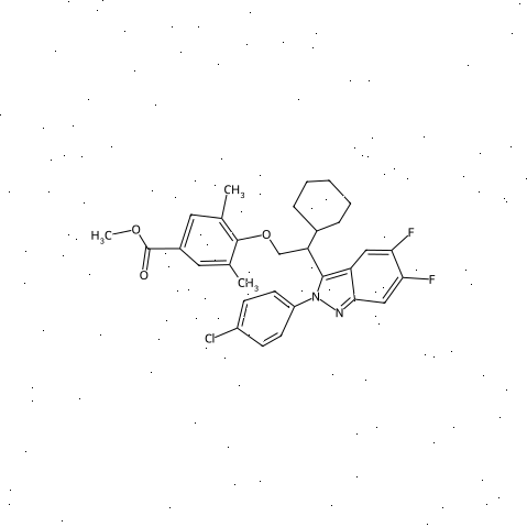 COC(=O)c1cc(C)c(OCC(c2c3cc(F)c(F)cc3nn2-c2ccc(Cl)cc2)C2CCCCC2)c(C)c1